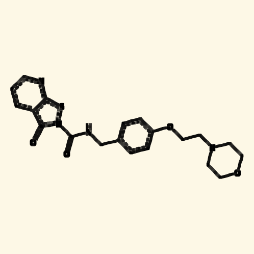 O=C(NCc1ccc(OCCN2CCOCC2)cc1)n1sc2ncccc2c1=O